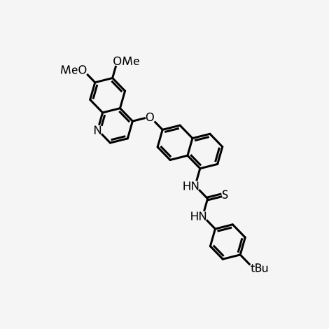 COc1cc2nccc(Oc3ccc4c(NC(=S)Nc5ccc(C(C)(C)C)cc5)cccc4c3)c2cc1OC